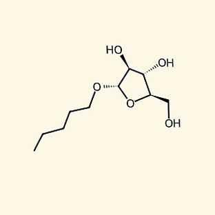 CCCCCO[C@H]1O[C@H](CO)[C@@H](O)[C@@H]1O